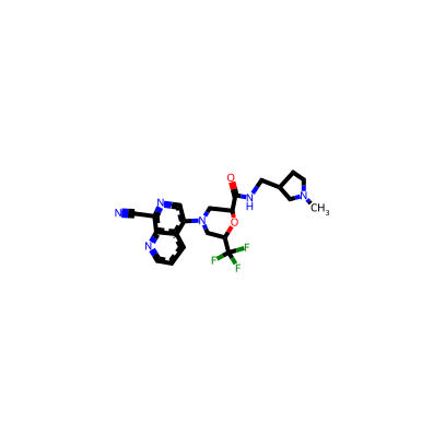 CN1CCC(CNC(=O)C2CN(c3cnc(C#N)c4ncccc34)CC(C(F)(F)F)O2)C1